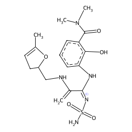 C=C(NCC1CC=C(C)O1)/C(=N\S(N)(=O)=O)Nc1cccc(C(=O)N(C)C)c1O